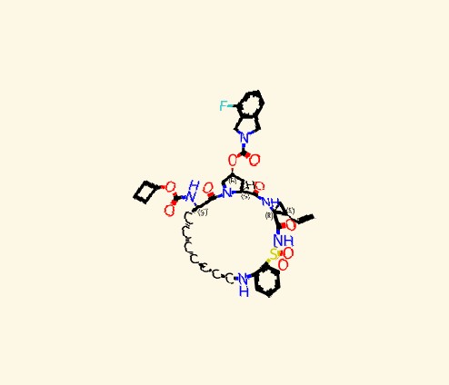 C=C[C@@H]1C[C@@]12NC(=O)[C@@H]1C[C@@H](OC(=O)N3Cc4cccc(F)c4C3)CN1C(=O)[C@@H](NC(=O)OC1CCC1)CCCCCCCNc1ccccc1S(=O)(=O)NC2=O